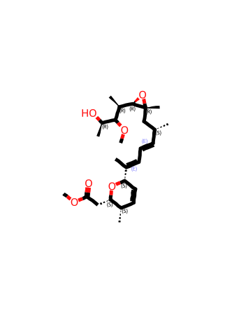 COC(=O)C[C@@H]1O[C@H](/C(C)=C/C=C/[C@@H](C)C[C@@]2(C)O[C@@H]2[C@H](C)C(OC)[C@@H](C)O)C=C[C@@H]1C